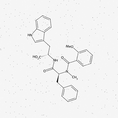 COc1ccccc1C(=O)N(C)[C@@H](Cc1ccccc1)C(=O)N[C@@H](Cc1c[nH]c2ccccc12)C(=O)O